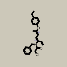 C=C/C(=C\C=C(/C)Oc1ccc(CC)cc1)N(Cc1ccccc1)C(=O)CCl